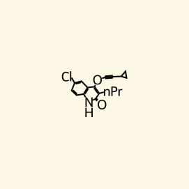 CCCc1c(OC#CC2CC2)c2cc(Cl)ccc2[nH]c1=O